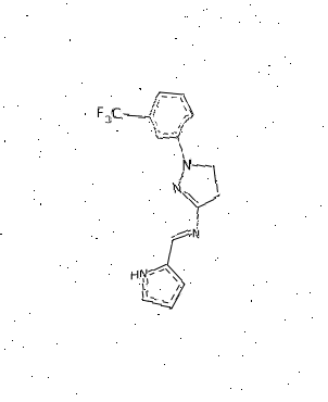 FC(F)(F)c1cccc(N2CCC(N=Cc3ccc[nH]3)=N2)c1